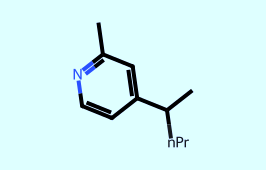 CCCC(C)c1ccnc(C)c1